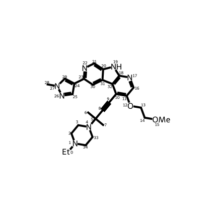 CCN1CCN(C(C)(C)C#Cc2c(OCCOC)cnc3[nH]c4cnc(-c5cnn(C)c5)cc4c23)CC1